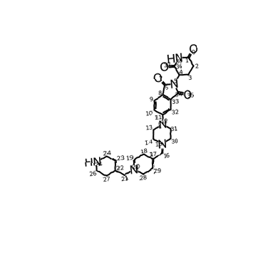 O=C1CCC(N2C(=O)c3ccc(N4CCN(CC5CCN(CC6CCNCC6)CC5)CC4)cc3C2=O)C(=O)N1